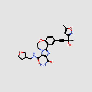 Cc1cc([C@](C)(O)C#Cc2ccc3c(c2)-c2nc(C(N)=O)c(C(=O)NCC4CCOC4)n2CCO3)no1